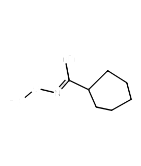 CCCC(=NOC(F)(F)F)C1CCCCC1